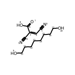 N#CC=C(C#N)C(=O)O.OCCCCCCCCO